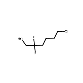 OCC(F)(F)CCCCCl